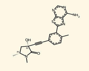 Cc1ccc(C#C[C@]2(O)C[C@@H](C)N(C)C2=O)cc1-c1nc2c(N)ncnc2s1